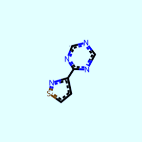 [c]1ncnc(-c2ccsn2)n1